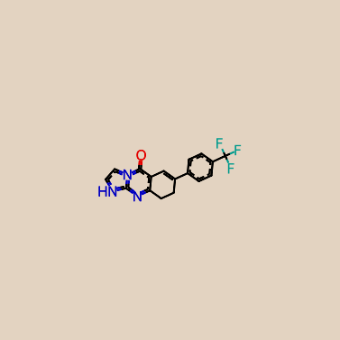 O=c1c2c(nc3[nH]ccn13)CCC(c1ccc(C(F)(F)F)cc1)=C2